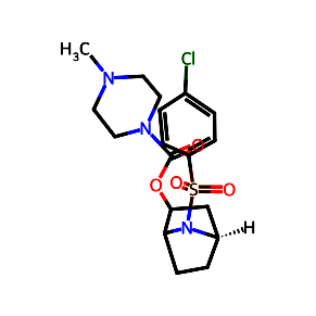 CN1CCN(C(=O)OC2C[C@H]3CCC2N3S(=O)(=O)c2ccc(Cl)cc2)CC1